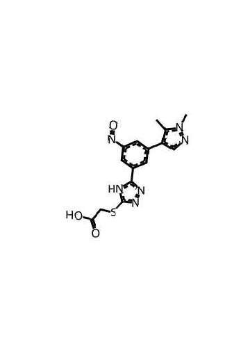 Cc1c(-c2cc(N=O)cc(-c3nnc(SCC(=O)O)[nH]3)c2)cnn1C